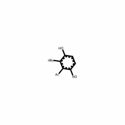 CCCCc1c(O)ccc(N=O)c1C(C)=O